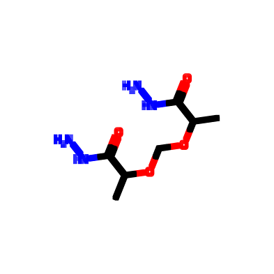 CC(OCOC(C)C(=O)NN)C(=O)NN